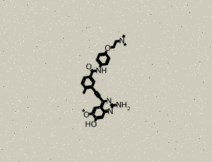 COc1cc2c(C#Cc3cc(C(=O)Nc4ccc(OCCN(C)C)cc4)ccc3C)nc(N)nc2cc1O